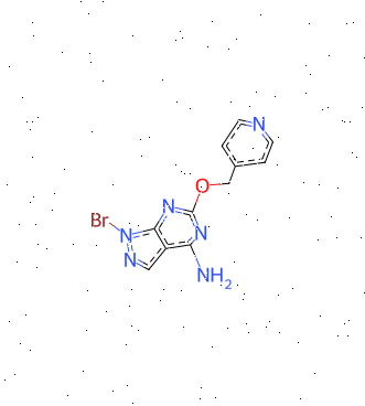 Nc1nc(OCc2ccncc2)nc2c1cnn2Br